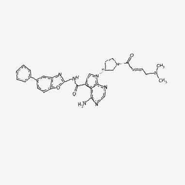 CN(C)CC=CC(=O)N1CC[C@@H](n2cc(C(=O)Nc3nc4cc(-c5ccccc5)ccc4o3)c3c(N)ncnc32)C1